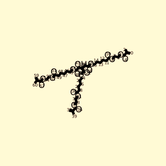 C=C(C)C(=O)OCCOC(=O)CCCCCOC(=O)CC(C(=O)OCCCCCC(=O)OCCOC(=O)C(=C)C)C(O)C(=O)OCCCCCC(=O)OCCOC(=O)C(=C)C